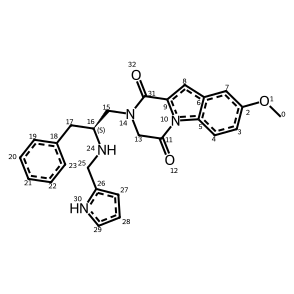 COc1ccc2c(c1)cc1n2C(=O)CN(C[C@H](Cc2ccccc2)NCc2ccc[nH]2)C1=O